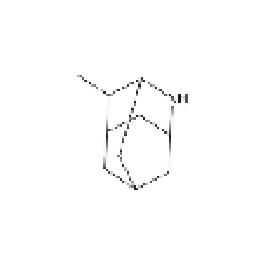 CC1C2CC3CC(C2)NC1C3